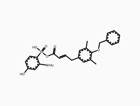 CC(=O)Nc1cc(O)ccc1[As](=O)(O)OC(=O)C=CCc1cc(C)c(OCc2ccccc2)c(C)c1